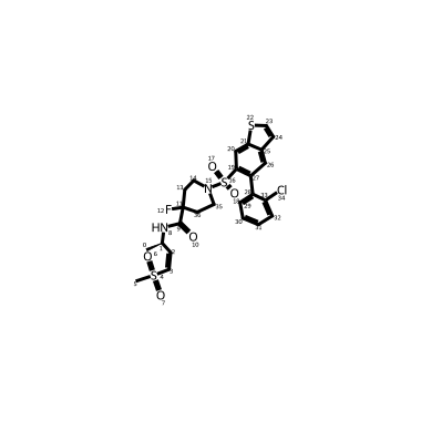 C[C@H](/C=C\S(C)(=O)=O)NC(=O)C1(F)CCN(S(=O)(=O)c2cc3sccc3cc2-c2ccccc2Cl)CC1